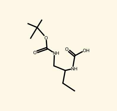 CCC(CNC(=O)OC(C)(C)C)NC(=O)O